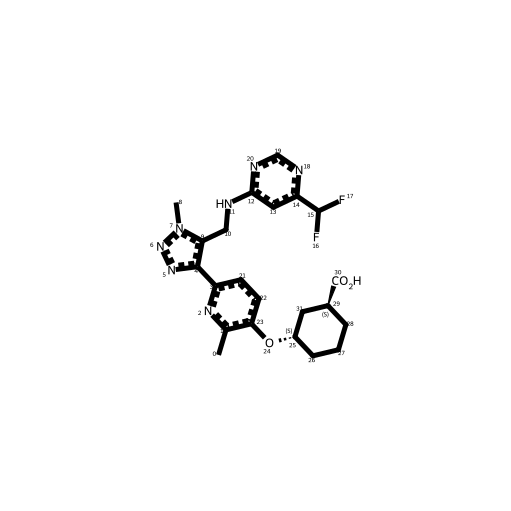 Cc1nc(-c2nnn(C)c2CNc2cc(C(F)F)ncn2)ccc1O[C@H]1CCC[C@H](C(=O)O)C1